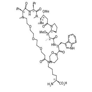 CC[C@H](C)[C@@H]([C@@H](CC(=O)N1CCC[C@H]1[C@H](OC)[C@@H](C)C(=O)N[C@@H](Cc1c[nH]c2ccccc12)C(=O)N1CCCCO1)OC)N(C)C(=O)[C@@H](NC(=O)[C@H](C(C)C)N(C)CCOCCOCCOCCC(=O)NCCCC[C@H](N)C(=O)O)C(C)C